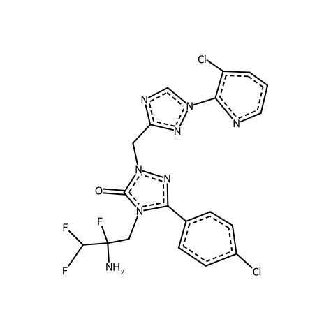 NC(F)(Cn1c(-c2ccc(Cl)cc2)nn(Cc2ncn(-c3ncccc3Cl)n2)c1=O)C(F)F